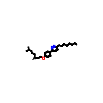 CCCCCCCCc1ccc(-c2ccc(OCC[C@H](C)CCCC(C)C)cc2)nn1